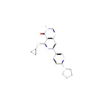 Cn1cnc2cc(-c3ccc(N4CCCC4)nc3)nc(NC3CC3)c2c1=O